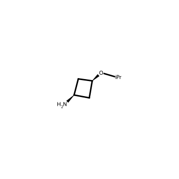 CC(C)O[C@H]1C[C@@H](N)C1